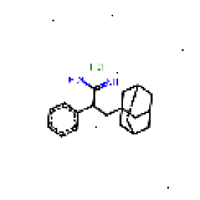 Cl.N=C(N)C(CC12CC3CC(CC(C3)C1)C2)c1ccccc1